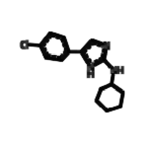 Clc1ccc(-c2cnc(NC3CCCCC3)[nH]2)cc1